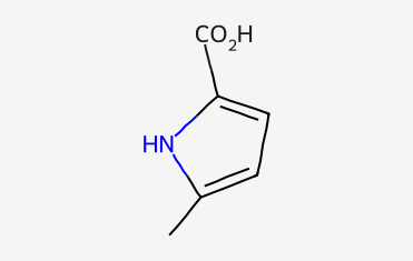 Cc1ccc(C(=O)O)[nH]1